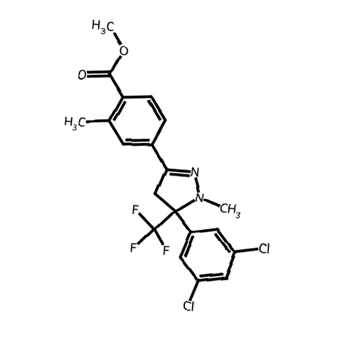 COC(=O)c1ccc(C2=NN(C)C(c3cc(Cl)cc(Cl)c3)(C(F)(F)F)C2)cc1C